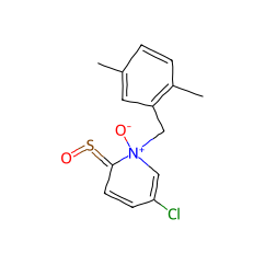 Cc1ccc(C)c(C[N+]2([O-])C=C(Cl)C=CC2=S=O)c1